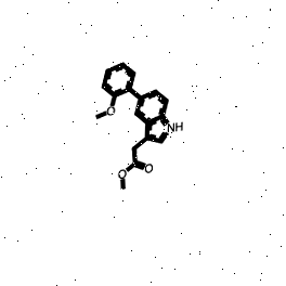 COC(=O)Cc1c[nH]c2ccc(-c3ccccc3OC)cc12